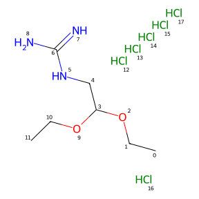 CCOC(CNC(=N)N)OCC.Cl.Cl.Cl.Cl.Cl.Cl